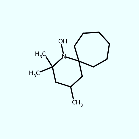 CC1CC(C)(C)N(O)C2(CCCCCC2)C1